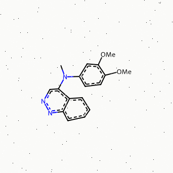 COc1ccc(N(C)c2cnnc3ccccc23)cc1OC